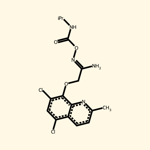 Cc1ccc2c(Cl)cc(Cl)c(OCC(N)=NOC(=O)NC(C)C)c2n1